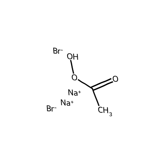 CC(=O)OO.[Br-].[Br-].[Na+].[Na+]